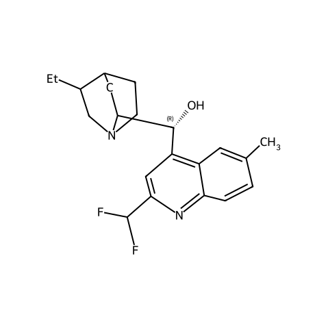 CCC1CN2CCC1CC2[C@H](O)c1cc(C(F)F)nc2ccc(C)cc12